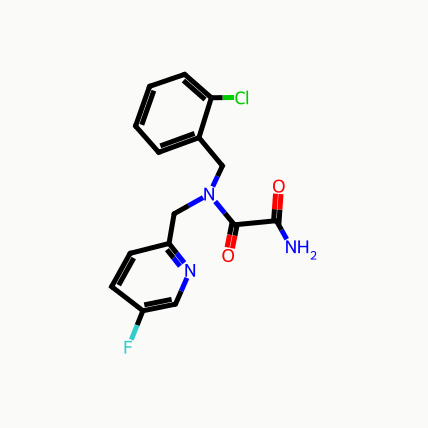 NC(=O)C(=O)N(Cc1ccc(F)cn1)Cc1ccccc1Cl